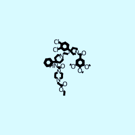 CCOC(=O)CN1CCN(C(=O)NC2(c3ccccc3)CCN(CC[C@]3(c4ccc(Cl)c(Cl)c4)CCN(C(=O)c4cc(OC)c(OC)c(OC)c4)C3)CC2)CC1